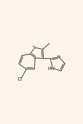 Cc1sc2ccc(Cl)cc2c1-c1ncc[nH]1